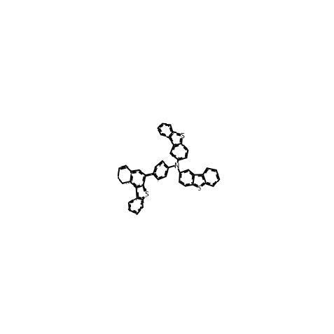 C1=Cc2cc(-c3ccc(N(c4ccc5sc6ccccc6c5c4)c4ccc5sc6ccccc6c5c4)cc3)c3sc4ccccc4c3c2CC1